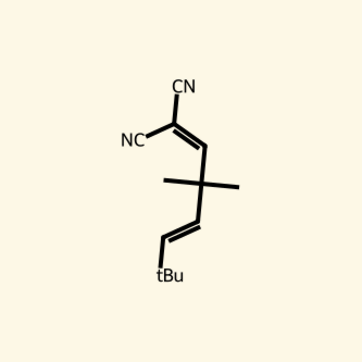 CC(C)(C)/C=C/C(C)(C)C=C(C#N)C#N